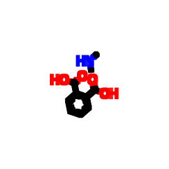 CNC.O=C(O)c1ccccc1C(=O)O